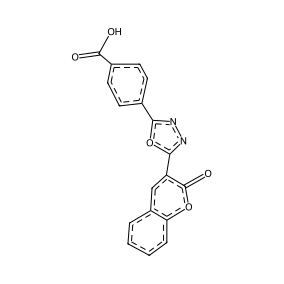 O=C(O)c1ccc(-c2nnc(-c3cc4ccccc4oc3=O)o2)cc1